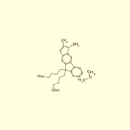 CCCCCCCCCCCCCCC1(CCCCCCCCCCCCCC)c2ccccc2-c2cc3c(cc21)C=C(C)C3[SiH3].[CH3][Ti][CH3]